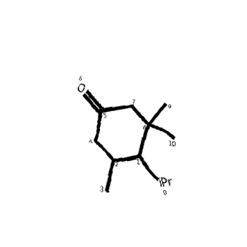 CC(C)C1C(C)CC(=O)CC1(C)C